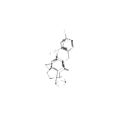 CNC(=O)Nc1ccc2c(c1)CC[C@]21OC2OC1N2CC(=O)N(Cc1ccc(F)cc1)[C@H](C)C1CC1